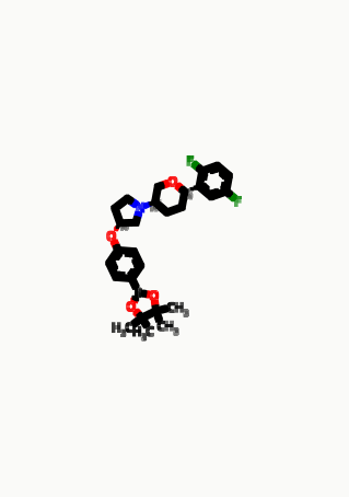 CC1(C)OB(c2ccc(O[C@@H]3CCN([C@@H]4CC[C@@H](c5cc(F)ccc5F)OC4)C3)cc2)OC1(C)C